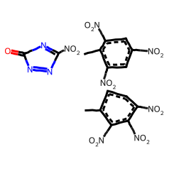 Cc1c([N+](=O)[O-])cc([N+](=O)[O-])cc1[N+](=O)[O-].Cc1ccc([N+](=O)[O-])c([N+](=O)[O-])c1[N+](=O)[O-].O=C1N=NC([N+](=O)[O-])=N1